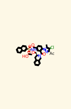 CC(=O)c1nn(-c2ccc(C(=O)NS(=O)(=O)c3ccc4ccccc4c3)cc2C(=O)N2Cc3ccccc3C[C@H]2COCCO)c(C)c1Cl